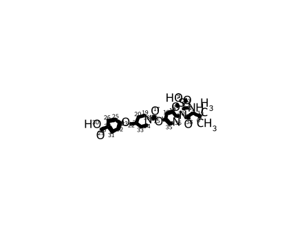 CC(C)C1NC(S(=O)(=O)O)N(c2ccc(OC(=O)N3CCC(COc4ccc(C(=O)O)cc4)CC3)cn2)C1=O